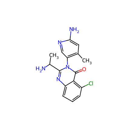 Cc1cc(N)ncc1-n1c(C(C)N)nc2cccc(Cl)c2c1=O